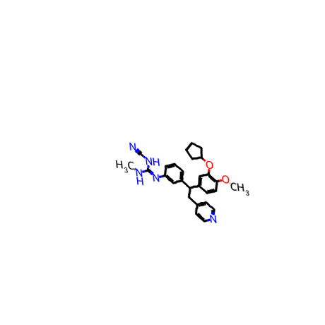 CNC(=Nc1cccc(C(Cc2ccncc2)c2ccc(OC)c(OC3CCCC3)c2)c1)NC#N